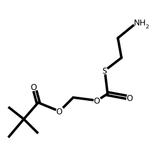 CC(C)(C)C(=O)OCOC(=O)SCCN